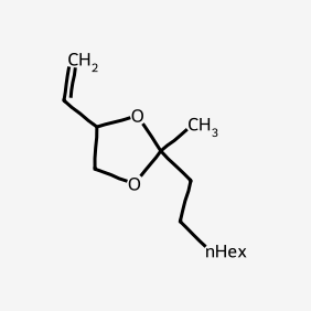 C=CC1COC(C)(CCCCCCCC)O1